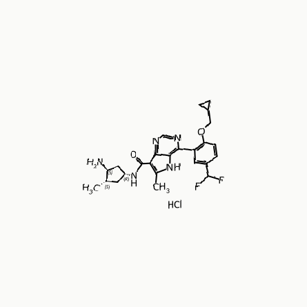 Cc1[nH]c2c(-c3cc(C(F)F)ccc3OCC3CC3)ncnc2c1C(=O)N[C@@H]1C[C@H](C)[C@@H](N)C1.Cl